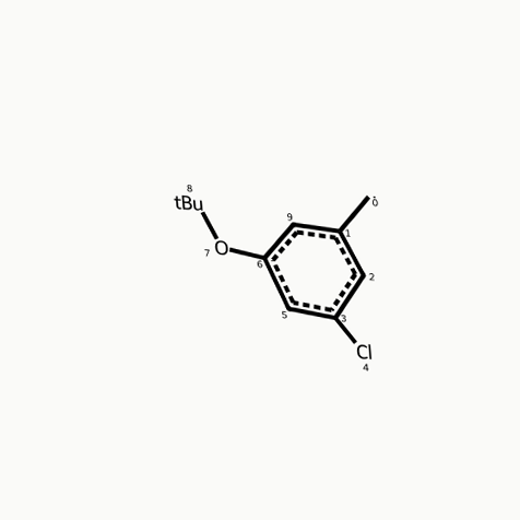 [CH2]c1cc(Cl)cc(OC(C)(C)C)c1